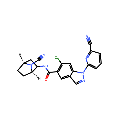 N#Cc1cccc(-n2ncc3cc(C(=O)N[C@@H]4C[C@@H]5CC[C@H]4N5C#N)c(Cl)cc32)n1